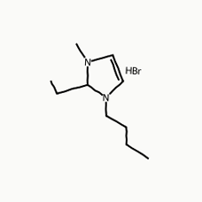 Br.CCCCN1C=CN(C)C1CC